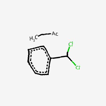 CC(C)=O.ClC(Cl)c1ccccc1